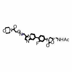 CC(=O)NC[C@H]1CN(c2ccc(-c3ccn4c(/C=N/OCC(=O)N5CCOCC5)cnc4c3)c(F)c2)C(=O)O1